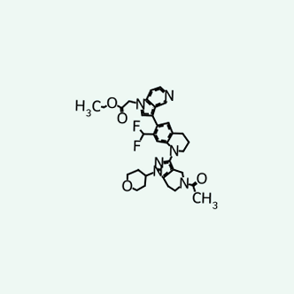 CCOC(=O)Cn1cc(-c2cc3c(cc2C(F)F)N(c2nn(C4CCOCC4)c4c2CN(C(C)=O)CC4)CCC3)c2cnccc21